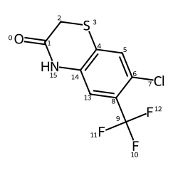 O=C1CSc2cc(Cl)c(C(F)(F)F)cc2N1